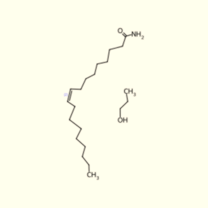 CCCCCCCC/C=C\CCCCCCCC(N)=O.CCCO